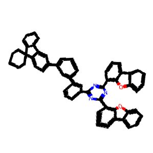 c1cc(-c2cccc(-c3nc(-c4cccc5c4oc4ccccc45)nc(-c4cccc5c4oc4ccccc45)n3)c2)cc(-c2ccc3c(c2)-c2ccccc2C32CCCCC2)c1